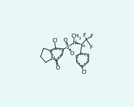 CN([C@H](c1ccc(Cl)cc1)C(F)(F)F)S(=O)(=O)c1cc(=O)n2c(c1Cl)CCC2